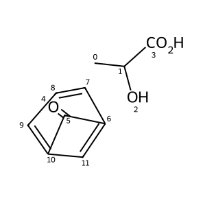 CC(O)C(=O)O.O=C1c2cccc1c2